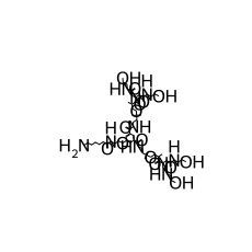 CC(COC(C)(C)CCNC(=O)c1cc(OCCNC(=O)CCCCCN)cc(C(=O)NCCC(C)(C)OCC(C)C(=O)N(CC(=O)NCCO)CC(=O)NCCO)c1)C(=O)N(CCNCCO)CC(=O)NCCO